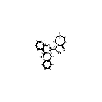 CC(C)[C@@H](c1nc2ncccc2c(=O)n1Cc1ccccc1)N1CCNCCC1=O